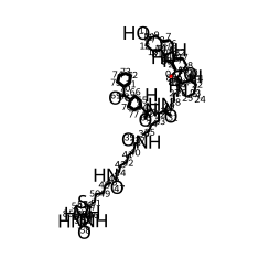 CC1=C2C[C@H]3[C@@H](CC=C4C[C@@H](O)CC[C@@]43C)[C@@H]2CC[C@]12O[C@@H]1C[C@H](C)CN(CCNC(=O)C(CCCCNC(=O)CCCCCNC(=O)CCCC[C@@H]3SC[C@@H]4NC(=O)N[C@@H]43)NC(=O)c3ccc(C(=O)c4ccccc4)cc3)[C@H]1[C@H]2C